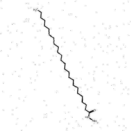 CCCCCCCCCCCCCCCCCCCCCCCCCC(=O)NN